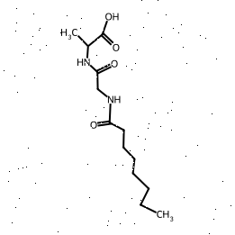 CCCCCCCC(=O)NCC(=O)NC(C)C(=O)O